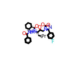 CC(C)C[C@H](NC(=O)[C@@H]1CCCC[C@@H]1NC(=O)c1ccccc1)C(=O)Cn1c(-c2ccc(F)cc2)noc1=O